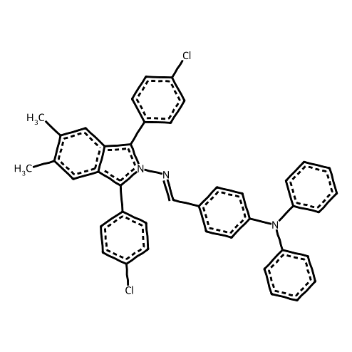 Cc1cc2c(-c3ccc(Cl)cc3)n(N=Cc3ccc(N(c4ccccc4)c4ccccc4)cc3)c(-c3ccc(Cl)cc3)c2cc1C